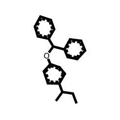 CCC(C)c1ccc(OC(c2ccccc2)c2ccccc2)cc1